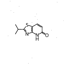 CC(C)c1nc2[nH]c(=O)ccc2s1